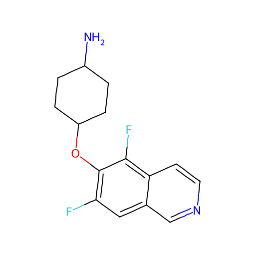 NC1CCC(Oc2c(F)cc3cnccc3c2F)CC1